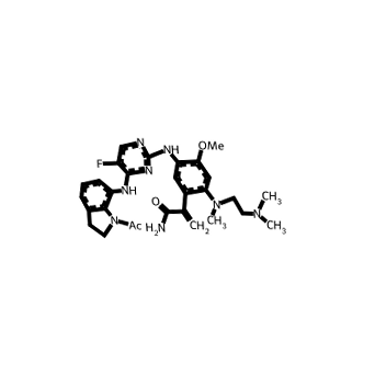 C=C(C(N)=O)c1cc(Nc2ncc(F)c(Nc3cccc4c3N(C(C)=O)CC4)n2)c(OC)cc1N(C)CCN(C)C